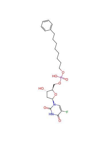 O=c1[nH]c(=O)n([C@H]2C[C@H](O)[C@@H](COP(=O)(O)OCCCCCCCCc3ccccc3)O2)cc1F